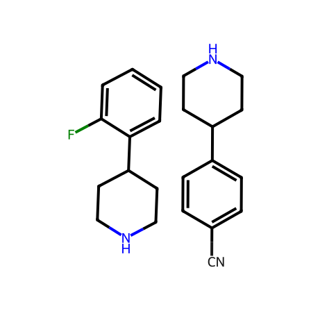 Fc1ccccc1C1CCNCC1.N#Cc1ccc(C2CCNCC2)cc1